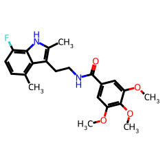 COc1cc(C(=O)NCCc2c(C)[nH]c3c(F)ccc(C)c23)cc(OC)c1OC